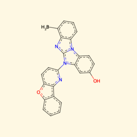 Bc1cccc2c1nc1n(-c3ccc4oc5ccccc5c4n3)c3cc(O)ccc3n21